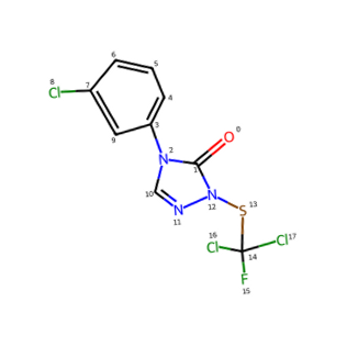 O=c1n(-c2cccc(Cl)c2)cnn1SC(F)(Cl)Cl